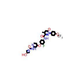 Cc1cc(=O)n(-c2ccc(OC(F)(F)F)cc2)nc1C(=O)Nc1ccc(Oc2ccnc(NC(=O)N3CC(O)C3)c2)c(F)c1